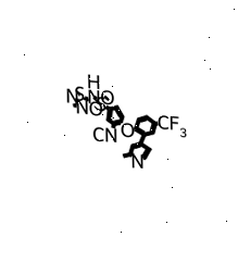 Cc1cc(-c2cc(C(F)(F)F)ccc2Oc2ccc(S(=O)(=O)Nc3ncns3)cc2C#N)ccn1